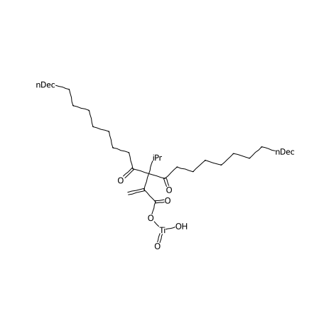 C=C(C(=O)[O][Ti](=[O])[OH])C(C(=O)CCCCCCCCCCCCCCCCC)(C(=O)CCCCCCCCCCCCCCCCC)C(C)C